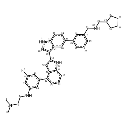 CN(C)CCNc1cc(F)cc(-c2cccc3[nH]c(-c4n[nH]c5ccc(-c6cncc(CNCC7CCCC7)c6)cc45)cc23)c1